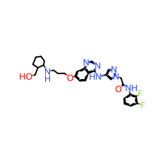 O=C(Cn1cc(Nc2ncnc3cc(OCCCNC4CCCCC4CO)ccc23)cn1)Nc1cccc(F)c1F